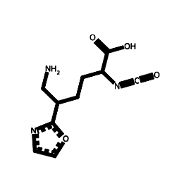 NCC(CCC(N=C=O)C(=O)O)c1ncco1